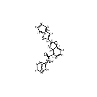 O=C(NC1CN2CCC1CC2)c1cccc2oc(-c3cc4ccccc4s3)nc12